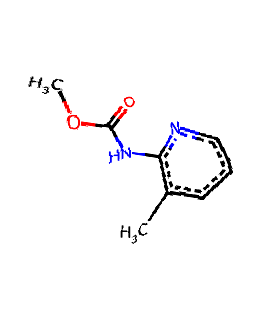 COC(=O)Nc1ncccc1C